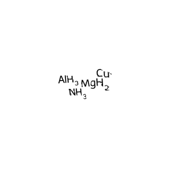 N.[AlH3].[Cu].[MgH2]